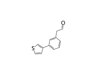 O=CCc1cccc(-c2ccsc2)c1